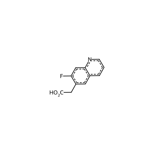 O=C(O)Cc1cc2cccnc2cc1F